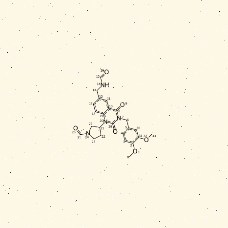 COc1ccc(Cn2c(=O)c3cc(CNC=O)ccc3n(C3CCN(C=O)C3)c2=O)cc1OC